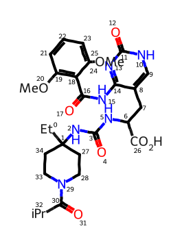 CCC1(NC(=O)NC(Cc2c[nH]c(=O)nc2NC(=O)c2c(OC)cccc2OC)C(=O)O)CCN(C(=O)C(C)C)CC1